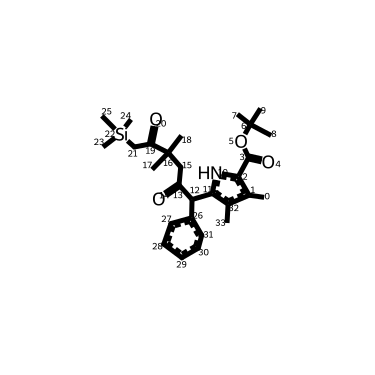 Cc1c(C(=O)OC(C)(C)C)[nH]c(C(C(=O)CC(C)(C)C(=O)C[Si](C)(C)C)c2ccccc2)c1C